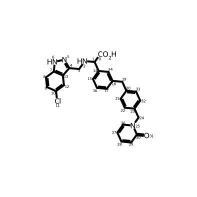 O=C(O)C(NCc1n[nH]c2ccc(Cl)cc12)c1cccc(Cc2ccc(Cn3ccccc3=O)cc2)c1